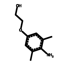 Cc1cc(OCCO)cc(C)c1N